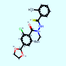 Cc1ccccc1C(=S)NN(CC(C)(C)C)C(=O)c1ccc(C2OCCO2)cc1Cl